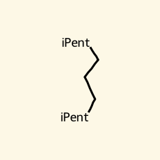 [CH2]C(CCC)CCCC(C)CCC